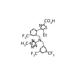 CCc1sc(C(=O)O)nc1-c1ccc(C(F)(F)F)cc1CN(Cc1cc(C(F)(F)F)cc(C(F)(F)F)c1)c1nnn(C)n1